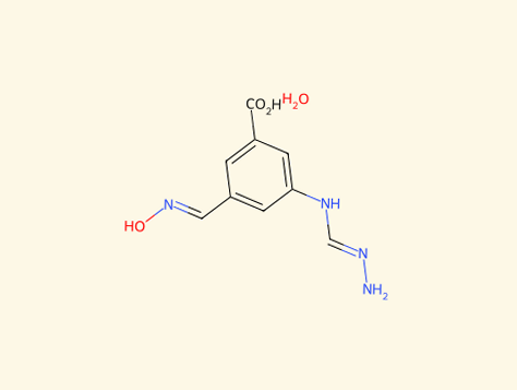 NN=CNc1cc(C=NO)cc(C(=O)O)c1.O